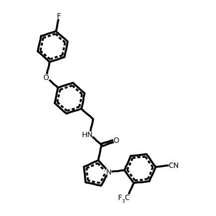 N#Cc1ccc(-n2cccc2C(=O)NCc2ccc(Oc3ccc(F)cc3)cc2)c(C(F)(F)F)c1